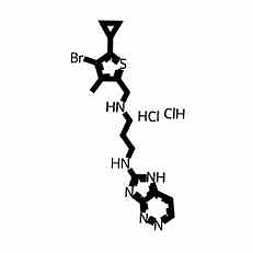 Cc1c(CNCCCNc2nc3nnccc3[nH]2)sc(C2CC2)c1Br.Cl.Cl